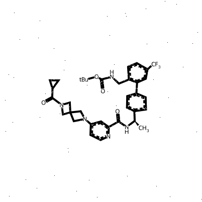 C[C@@H](NC(=O)c1cc(N2CC3(CN(C(=O)C4CC4)C3)C2)ccn1)c1ccc(-c2cc(C(F)(F)F)ccc2CNC(=O)OC(C)(C)C)cc1